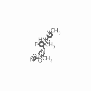 Cc1ccc(C(=O)Nc2cc(F)cc(CN3CCN(C(=O)c4cnco4)C(C)C3)c2C)cn1